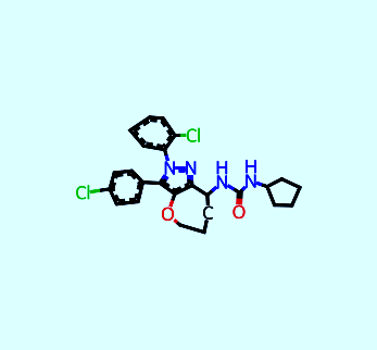 O=C(NC1CCCC1)NC1CCCOc2c1nn(-c1ccccc1Cl)c2-c1ccc(Cl)cc1